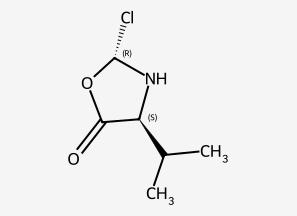 CC(C)[C@@H]1N[C@@H](Cl)OC1=O